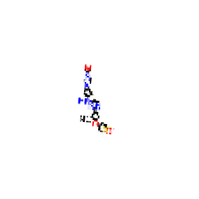 N#Cc1cc(-c2nccc(Nc3ccc(N4CCN(C5COC5)CC4)cc3)n2)ccc1O[C@H]1CC[S@+]([O-])CC1